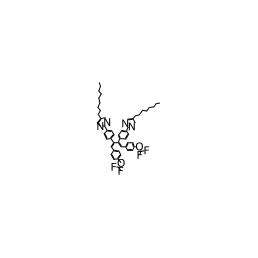 CCCCCCCCCc1cnc(-c2ccc(C(=Cc3ccc(OC(F)F)cc3)C(=Cc3ccc(OC(F)F)cc3)c3ccc(-c4ncc(CCCCCCCC)cn4)cc3)cc2)nc1